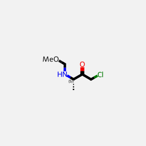 COCN[C@@H](C)C(=O)CCl